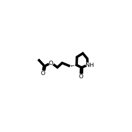 CC(=O)OCCC[C@@H]1CCCNC1=O